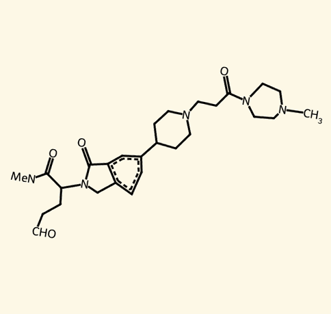 CNC(=O)C(CCC=O)N1Cc2ccc(C3CCN(CCC(=O)N4CCN(C)CC4)CC3)cc2C1=O